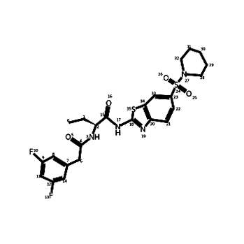 CC[C@H](NC(=O)Cc1cc(F)cc(F)c1)C(=O)Nc1nc2ccc(S(=O)(=O)N3CCCCC3)cc2s1